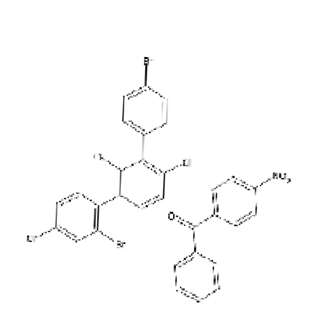 Clc1ccc(-c2ccc(Cl)c(-c3ccc(Br)cc3)c2Cl)c(Br)c1.O=C(c1ccccc1)c1ccc([N+](=O)[O-])cc1